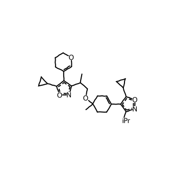 CC(C)c1noc(C2CC2)c1C1=CCC(C)(OCC(C)c2noc(C3CC3)c2C2=COCCC2)CC1